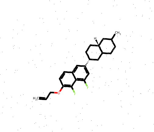 C=CCOc1ccc2cc([C@@H]3CC[C@@H]4CC(C)CCC4C3)cc(F)c2c1F